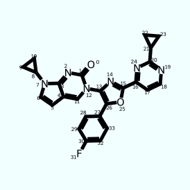 O=c1nc2c(ccn2C2CC2)cn1-c1nc(-c2ccnc(C3CC3)n2)oc1-c1ccc(F)cc1